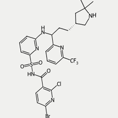 CC1(C)C[C@@H](CCC(Nc2cccc(S(=O)(=O)NC(=O)c3ccc(Br)nc3Cl)n2)c2cccc(C(F)(F)F)n2)CN1